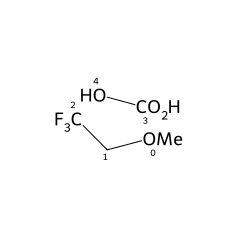 COCC(F)(F)F.O=C(O)O